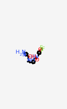 CC(Cc1cccc(CC(=O)NCc2ccc(OC(F)(F)F)cc2)c1)NC[C@H](O)c1ccc(N)nc1